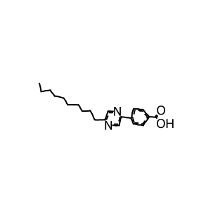 CCCCCCCCCCc1cnc(-c2ccc(C(=O)O)cc2)cn1